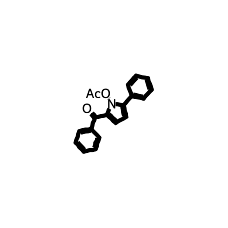 CC(=O)On1c(C(=O)c2ccccc2)ccc1-c1ccccc1